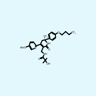 COc1ccc(C2=C(CNC(=O)C(C)(C)O)C(=O)N[C@@](c3ccc(OCCCC(F)(F)F)cc3)(C(F)(F)F)C2)nc1